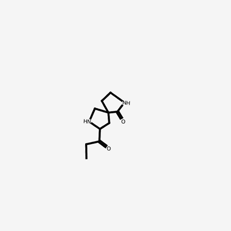 CCC(=O)C1CC2(CCNC2=O)CN1